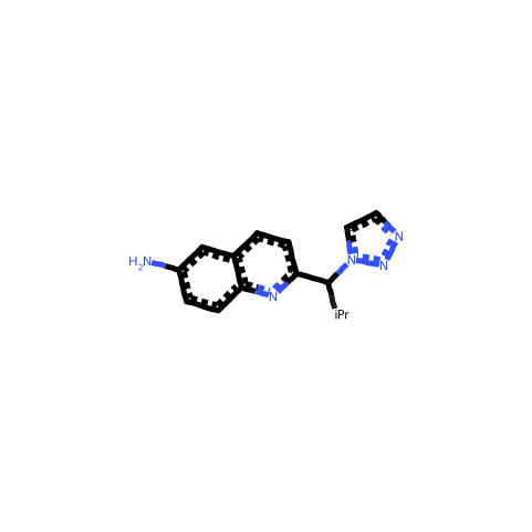 CC(C)C(c1ccc2cc(N)ccc2n1)n1ccnn1